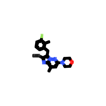 Cc1c(F)cccc1Cc1c(C=O)nc2c(C)cc(N3CCOCC3)nn12